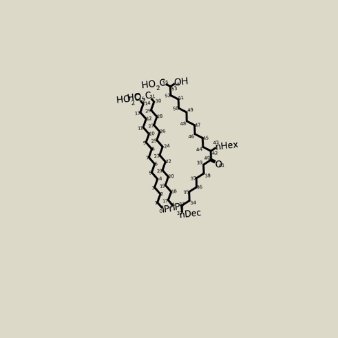 CC(C)CCCCCCCCCCCCCCC(=O)O.CC(C)CCCCCCCCCCCCCCC(=O)O.CCCCCCCCCCCCCCCCCC(=O)C(CCCCCC)CCCCCCCCCC(O)C(=O)O